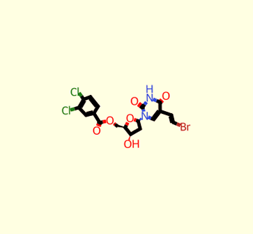 O=C(OC[C@H]1O[C@@H](n2cc(C=CBr)c(=O)[nH]c2=O)C[C@@H]1O)c1ccc(Cl)c(Cl)c1